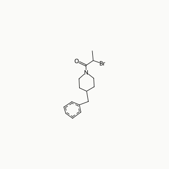 CC(Br)C(=O)N1CCC(Cc2ccccc2)CC1